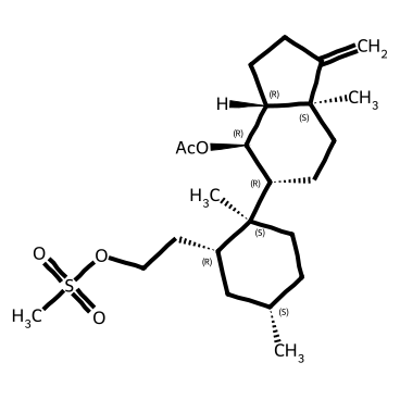 C=C1CC[C@H]2[C@H](OC(C)=O)[C@@H]([C@@]3(C)CC[C@H](C)C[C@@H]3CCOS(C)(=O)=O)CC[C@]12C